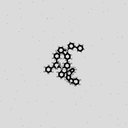 c1ccc(-c2cccc(-n3c4ccccc4c4cc(-c5ccc6c(c5)N(c5nc(-c7ccccc7)cc(-c7ccccc7)n5)c5ccccc5C65c6ccccc6-c6c5ccc5sc7ccccc7c65)ccc43)c2)cc1